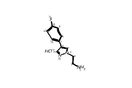 Cl.NCCn1cc(-c2ccc(F)cc2)cn1